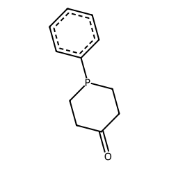 O=C1CCP(c2ccccc2)CC1